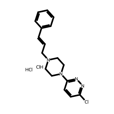 Cl.Cl.Clc1ccc(N2CCN(C/C=C/c3ccccc3)CC2)nn1